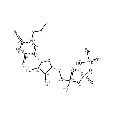 CCCn1cc([C@@H]2O[C@H](COP(=O)(O)OP(=O)(O)OP(=O)(O)O)[C@@H](O)[C@H]2O)c(=O)[nH]c1=O